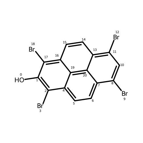 Oc1c(Br)c2ccc3c(Br)cc(Br)c4ccc(c1Br)c2c34